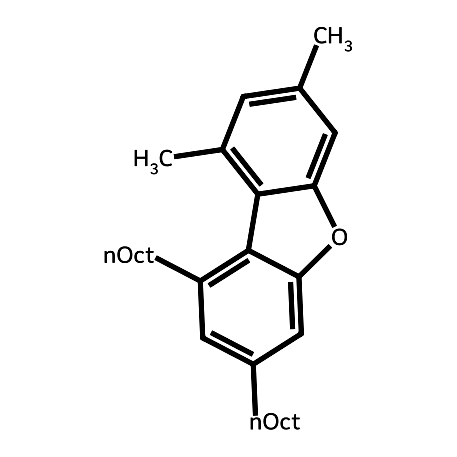 CCCCCCCCc1cc(CCCCCCCC)c2c(c1)oc1cc(C)cc(C)c12